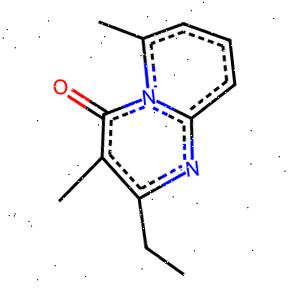 CCc1nc2cccc(C)n2c(=O)c1C